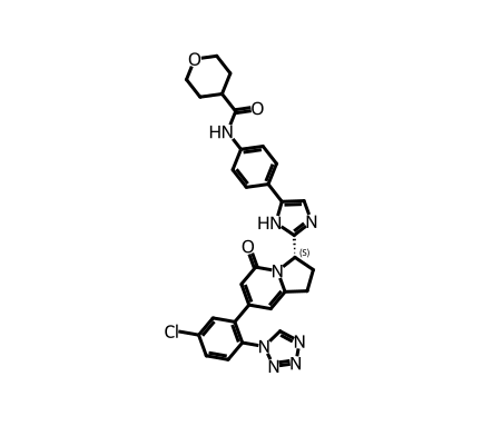 O=C(Nc1ccc(-c2cnc([C@@H]3CCc4cc(-c5cc(Cl)ccc5-n5cnnn5)cc(=O)n43)[nH]2)cc1)C1CCOCC1